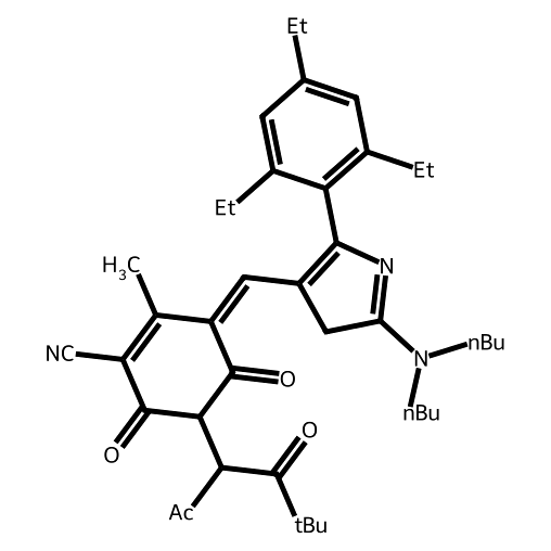 CCCCN(CCCC)C1=NC(c2c(CC)cc(CC)cc2CC)=C(/C=C2\C(=O)C(C(C(C)=O)C(=O)C(C)(C)C)C(=O)C(C#N)=C2C)C1